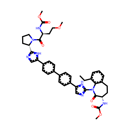 CCc1cccc2c1N(c1ncc(-c3ccc(-c4ccc(-c5cnc([C@@H]6CCCN6C(=O)[C@H](CCOC)NC(=O)OC)[nH]5)cc4)cc3)[nH]1)C(=O)[C@@H](NC(=O)OC)CC2